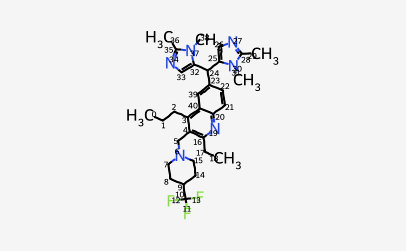 CCCc1c(CN2CCC(C(F)(F)F)CC2)c(CC)nc2ccc(C(c3cnc(C)n3C)c3cnc(C)n3C)cc12